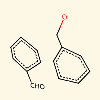 O=Cc1ccccc1.[O]Cc1ccccc1